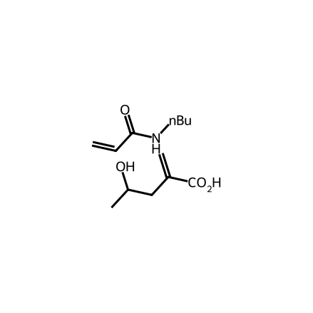 C=C(CC(C)O)C(=O)O.C=CC(=O)NCCCC